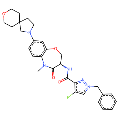 CN1C(=O)[C@H](NC(=O)c2nn(Cc3ccccc3)cc2F)COc2cc(N3CCC4(CCOCC4)C3)ccc21